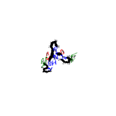 O=C(NC(c1ccccn1)C(F)(F)F)c1nc(C(=O)N2CCCC(F)(F)C2)n2ccccc12